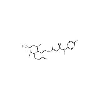 C=C1CCC2C(C(C)CC(O)C2(C)C)C1CC/C(C)=C/C(=O)Nc1ccc(C)cc1